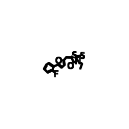 CCN1C(=O)/C(=C\c2ccc(-c3ccccc3F)o2)SC1=S